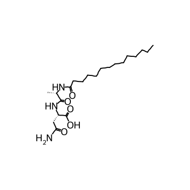 CCCCCCCCCCCCCC(=O)N[C@@H](C)C(=O)N[C@@H](CC(N)=O)C(=O)O